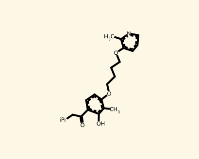 Cc1ncccc1OCCCCOc1ccc(C(=O)CC(C)C)c(O)c1C